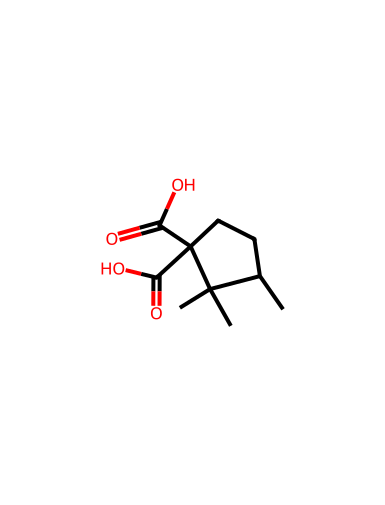 CC1CCC(C(=O)O)(C(=O)O)C1(C)C